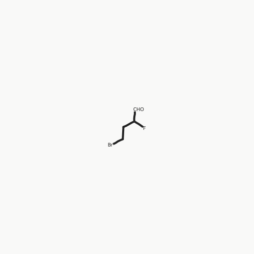 O=CC(F)CCBr